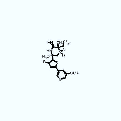 COc1cncc(C2=CC(F)C([C@]3(C)CS(=O)(=O)C(C)(CC(F)(F)F)C(=N)N3)S2)c1